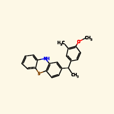 COc1ccc(C(C)c2ccc3c(c2)Nc2ccccc2S3)cc1C